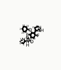 O=S(=O)(Nc1cscn1)c1cc(F)c(-c2ccn[nH]2)c(Oc2ccccc2)c1F